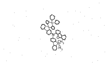 CC1(C)c2ccccc2-c2ccc(N(c3ccc4c(c3)C3(c5ccccc5-4)c4ccccc4C(c4ccccc4)(c4ccccc4)c4ccccc43)c3cccc4c3oc3ccccc34)cc21